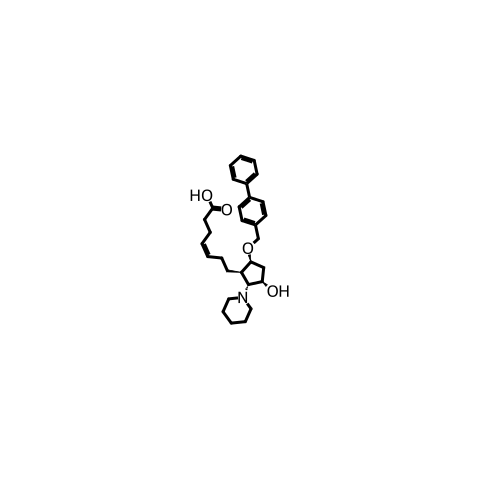 O=C(O)CC/C=C\CC[C@@H]1[C@@H](N2CCCCC2)[C@H](O)C[C@@H]1OCc1ccc(-c2ccccc2)cc1